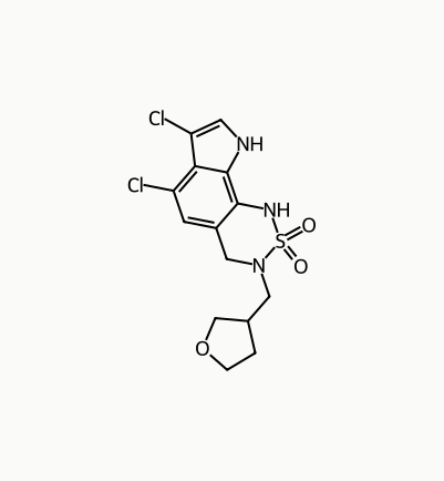 O=S1(=O)Nc2c(cc(Cl)c3c(Cl)c[nH]c23)CN1CC1CCOC1